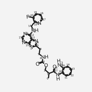 CC(COC(=O)NCCc1nc2c(NCc3ncccc3F)ncnc2s1)C(=O)Nc1ccccc1N